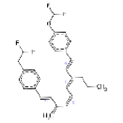 C=C(\C=C/C=C(/C=C/c1ccc(OC(F)F)cc1)CCC)/C=C/c1ccc(CC(F)F)cc1